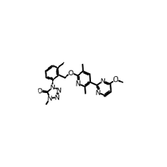 COc1ccnc(-c2cc(C)c(OCc3c(C)cccc3-n3nnn(C)c3=O)nc2C)n1